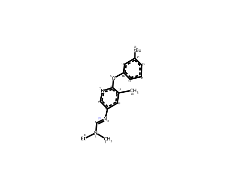 CCN(C)/C=N/c1cnc(Oc2cccc(C(C)(C)C)c2)c(C)c1